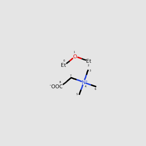 CCOCC.C[N+](C)(C)CC(=O)[O-]